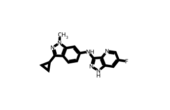 Cn1nc(C2CC2)c2ccc(Nc3n[nH]c4cc(F)cnc34)cc21